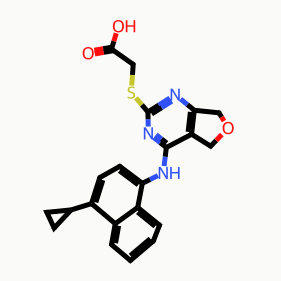 O=C(O)CSc1nc2c(c(Nc3ccc(C4CC4)c4ccccc34)n1)COC2